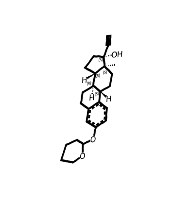 C#C[C@]1(O)CC[C@H]2[C@@H]3CCc4cc(OC5CCCCO5)ccc4[C@H]3CC[C@@]21C